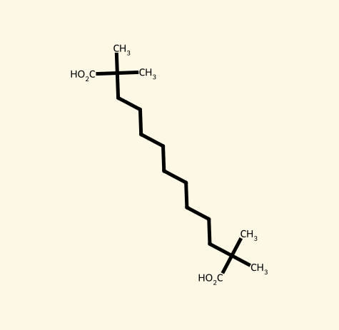 CC(C)(CCCCCCCCCC(C)(C)C(=O)O)C(=O)O